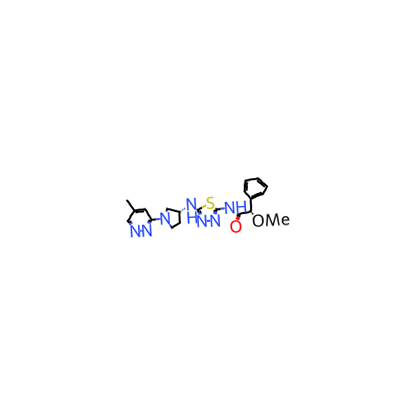 CO[C@H](C(=O)Nc1nnc(N[C@@H]2CCN(c3cc(C)cnn3)C2)s1)c1ccccc1